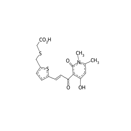 Cc1cc(O)c(C(=O)C=Cc2ccc(CSCC(=O)O)s2)c(=O)n1C